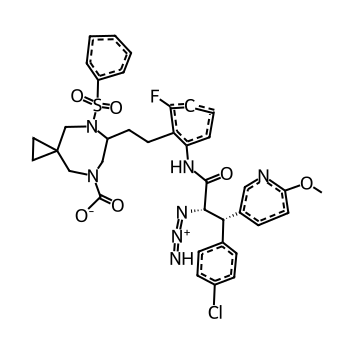 COc1ccc([C@H](c2ccc(Cl)cc2)[C@H](N=[N+]=N)C(=O)Nc2cccc(F)c2CCC2CN(C(=O)[O-])CC3(CC3)CN2S(=O)(=O)c2ccccc2)cn1